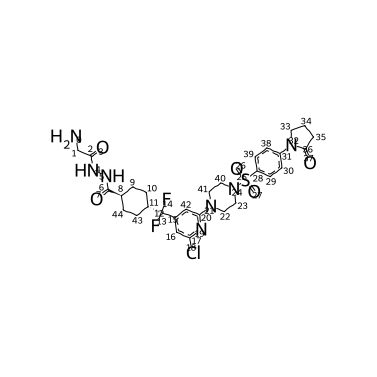 NCC(=O)NNC(=O)[C@H]1CC[C@H](C(F)(F)c2cc(Cl)nc(N3CCN(S(=O)(=O)c4ccc(N5CCCC5=O)cc4)CC3)c2)CC1